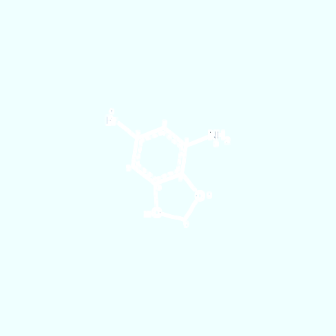 Nc1cc(Br)cc2c1OCO2